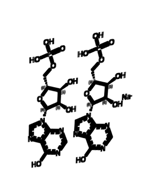 O=P(O)(O)OC[C@H]1O[C@@H](n2cnc3c(O)ncnc32)[C@H](O)[C@@H]1O.O=P(O)(O)OC[C@H]1O[C@@H](n2cnc3c(O)ncnc32)[C@H](O)[C@@H]1O.[Na]